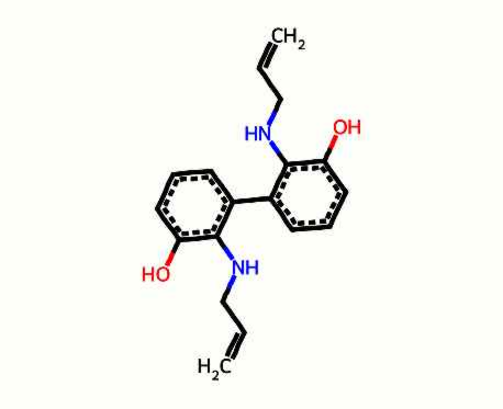 C=CCNc1c(O)cccc1-c1cccc(O)c1NCC=C